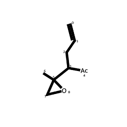 C=CCC(C(C)=O)C1(C)CO1